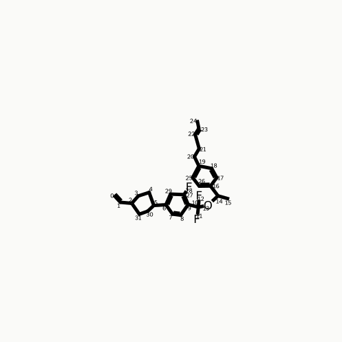 C=CC1CCC(c2ccc(C(F)(F)OC(C)c3ccc(CC/C=C/C)cc3)c(F)c2)CC1